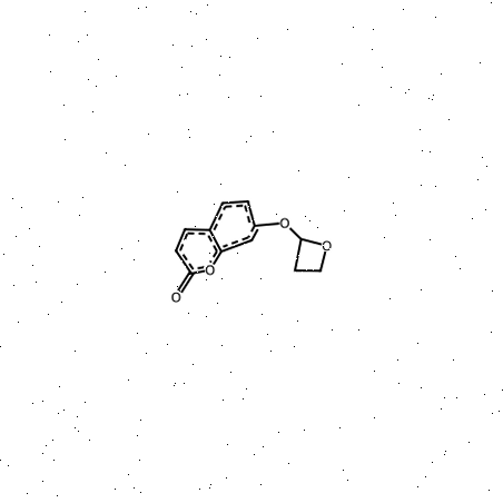 O=c1ccc2ccc(OC3CCO3)cc2o1